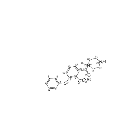 CCOC(=O)c1c(Sc2ccccc2)cccc1C(=O)[N+]1(C)CCNCC1